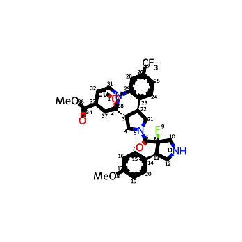 CCOC[C@H]1CN(C(=O)[C@]2(F)CNC[C@H]2c2ccc(OC)cc2)C[C@@H]1c1ccc(C(F)(F)F)cc1N1CCC(C(=O)OC)CC1